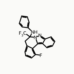 Fc1cccc2c1-c1c3ccccc3nn1C(Nc1ccccc1)(C(F)(F)F)C2